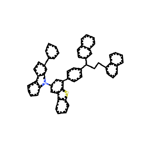 c1ccc(-c2ccc3c4ccccc4n(-c4cc(-c5ccc(C(CCc6cccc7ccccc67)c6ccc7ccccc7c6)cc5)c5sc6ccccc6c5c4)c3c2)cc1